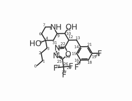 CCCCC1(O)CCNC(C(O)C(Cc2cc(F)cc(F)c2)c2nnc(C(F)(F)F)o2)C1